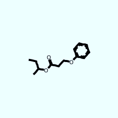 CCC(C)OC(=O)CCOc1ccccc1